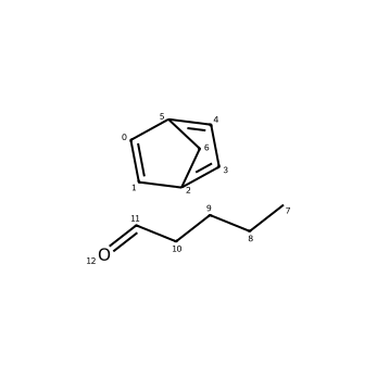 C1=CC2=CC=C1C2.CCCCC=O